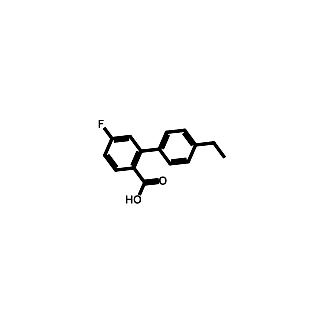 CCc1ccc(-c2cc(F)ccc2C(=O)O)cc1